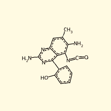 Cc1cc2nc(N)nc(-c3ccccc3O)c2c(N=C=O)c1N